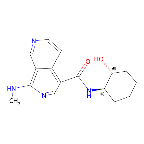 CNc1ncc(C(=O)N[C@@H]2CCCC[C@H]2O)c2ccncc12